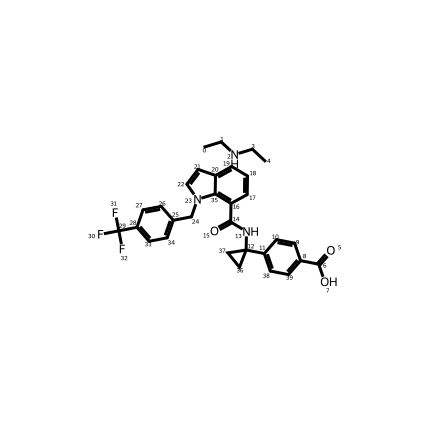 CCNCC.O=C(O)c1ccc(C2(NC(=O)c3cccc4ccn(Cc5ccc(C(F)(F)F)cc5)c34)CC2)cc1